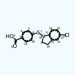 O=C(O)c1ccc(SN2CCc3cc(Cl)ccc32)cc1